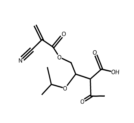 C=C(C#N)C(=O)OCC(OC(C)C)C(C(C)=O)C(=O)O